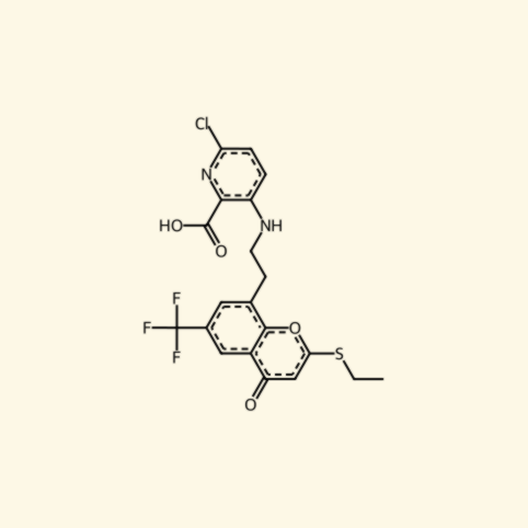 CCSc1cc(=O)c2cc(C(F)(F)F)cc(CCNc3ccc(Cl)nc3C(=O)O)c2o1